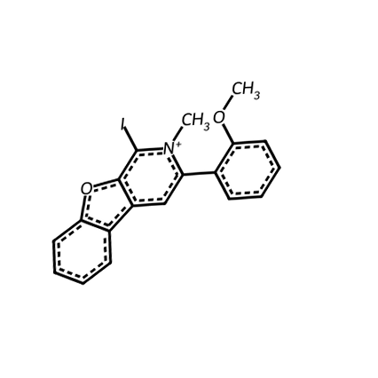 COc1ccccc1-c1cc2c(oc3ccccc32)c(I)[n+]1C